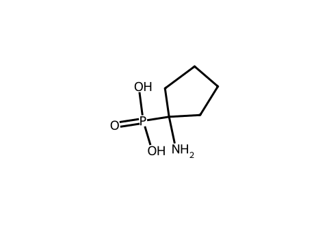 NC1(P(=O)(O)O)CCCC1